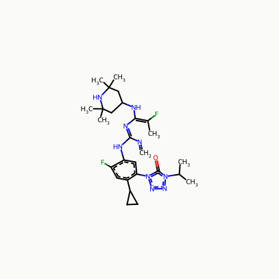 C=N/C(=N\C(NC1CC(C)(C)NC(C)(C)C1)=C(/C)F)Nc1cc(-n2nnn(C(C)C)c2=O)c(C2CC2)cc1F